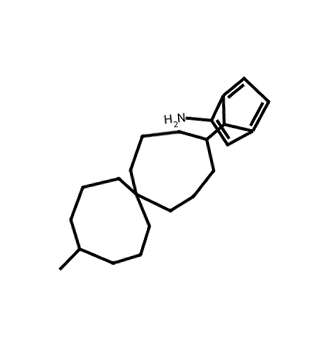 CC1CCCC2(CCC1)CCCC(C1C3=CC=C1C(N)=C3)CCC2